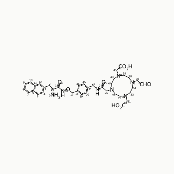 N[C@H](Cc1ccc2ccccc2c1)C(=O)NOCc1ccc(CNC(=O)CN2CCN(CC(=O)O)CCN(CC=O)CCN(CC(=O)O)CC2)cc1